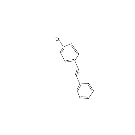 CCc1ccc(/C=C/c2ccccc2)cc1